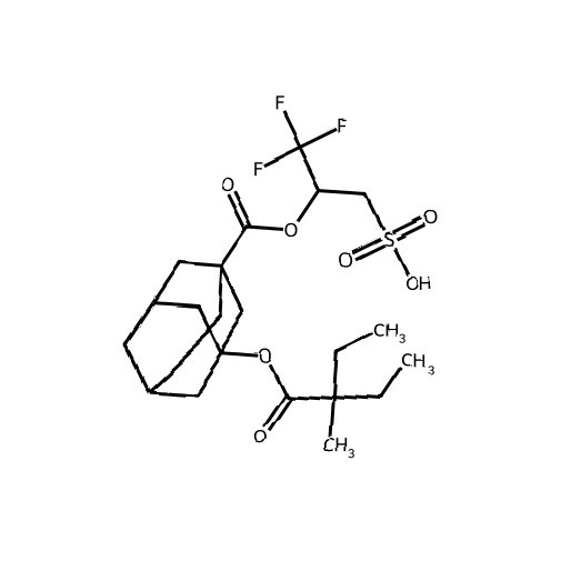 CCC(C)(CC)C(=O)OC12CC3CC(C1)CC(C(=O)OC(CS(=O)(=O)O)C(F)(F)F)(C3)C2